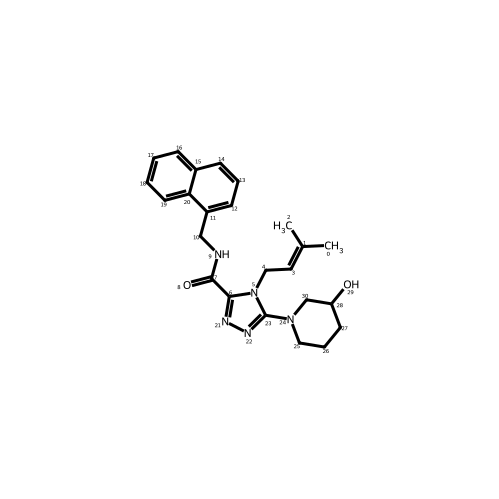 CC(C)=CCn1c(C(=O)NCc2cccc3ccccc23)nnc1N1CCCC(O)C1